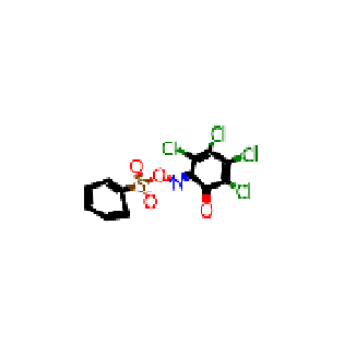 O=C1C(=NOS(=O)(=O)c2ccccc2)C(Cl)=C(Cl)C(Cl)=C1Cl